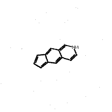 [c]1[nH]ccc2cc3cccc3cc12